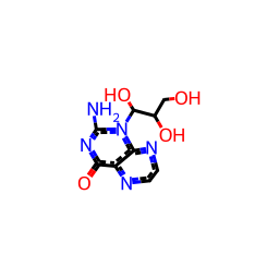 Nc1nc(=O)c2nccnc2n1C(O)C(O)CO